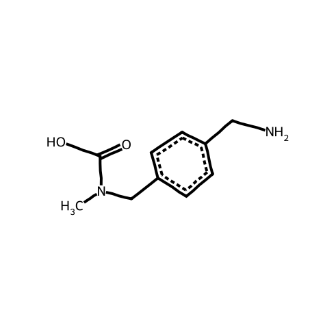 CN(Cc1ccc(CN)cc1)C(=O)O